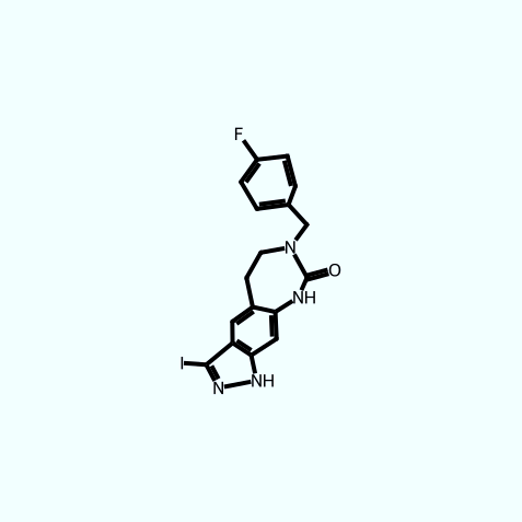 O=C1Nc2cc3[nH]nc(I)c3cc2CCN1Cc1ccc(F)cc1